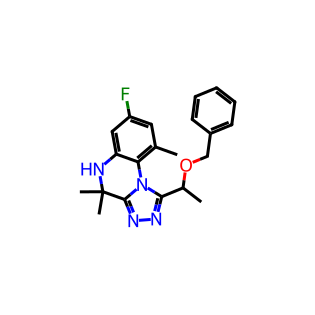 Cc1cc(F)cc2c1-n1c(C(C)OCc3ccccc3)nnc1C(C)(C)N2